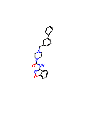 O=C(Nc1noc2ccccc12)N1CCN(Cc2cccc(-c3ccccc3)c2)CC1